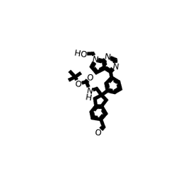 CC(C)(C)OC(=O)NCC1(c2cccc(-c3ncnc4c3ccn4CO)c2)Cc2ccc(C=O)cc2C1